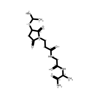 CCCCC(C)SC1CC(=O)N(CCC(=O)NCC(=O)NC(C)C(N)=O)C1=O